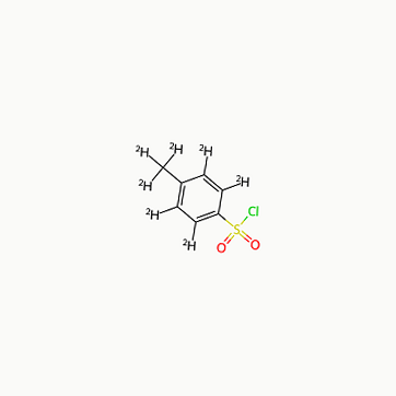 [2H]c1c([2H])c(S(=O)(=O)Cl)c([2H])c([2H])c1C([2H])([2H])[2H]